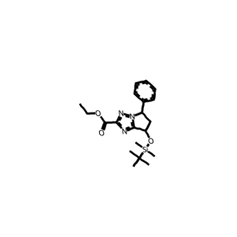 CCOC(=O)c1nc2n(n1)C(c1ccccc1)CC2O[Si](C)(C)C(C)(C)C